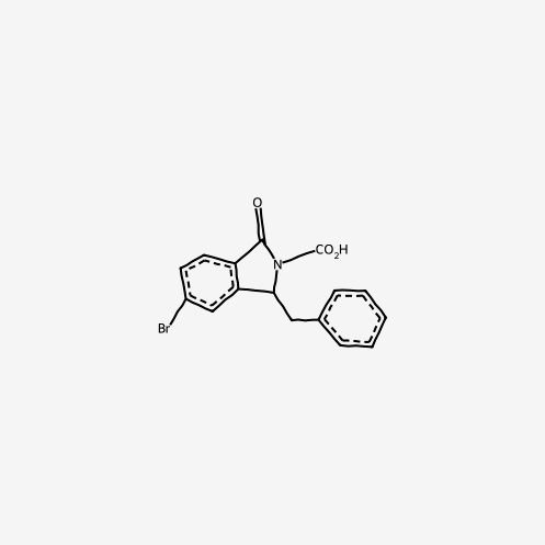 O=C(O)N1C(=O)c2ccc(Br)cc2C1Cc1ccccc1